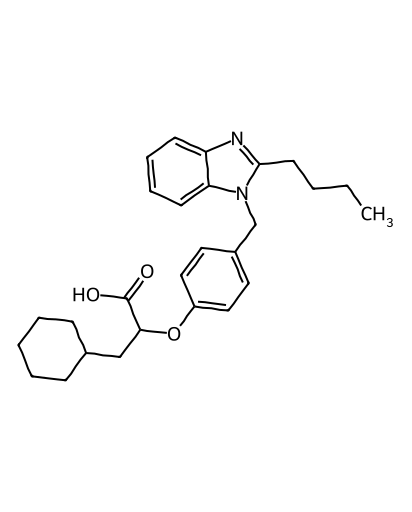 CCCCc1nc2ccccc2n1Cc1ccc(OC(CC2CCCCC2)C(=O)O)cc1